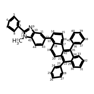 Cn1c(-c2ccccc2)nc2cc(-c3cccc4c3ccc3c(-c5ccccc5)c5ccccc5c(-c5ccccc5)c34)ccc21